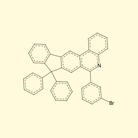 Brc1cccc(-c2nc3ccccc3c3cc4c(cc23)C(c2ccccc2)(c2ccccc2)c2ccccc2-4)c1